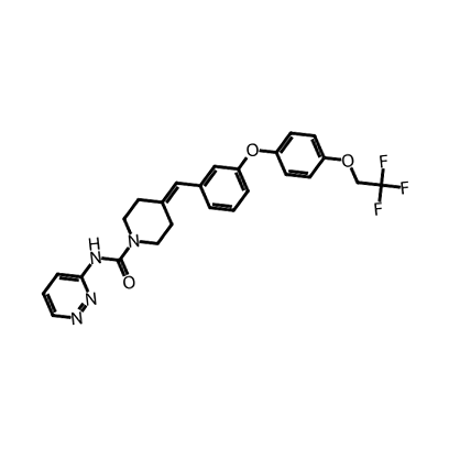 O=C(Nc1cccnn1)N1CCC(=Cc2cccc(Oc3ccc(OCC(F)(F)F)cc3)c2)CC1